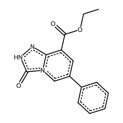 CCOC(=O)c1cc(-c2ccccc2)cn2c(=O)[nH]nc12